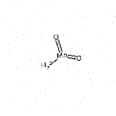 [O]=[Mo](=[O])[PH2]